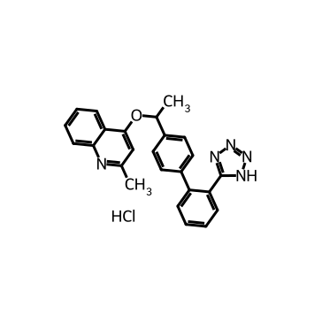 Cc1cc(OC(C)c2ccc(-c3ccccc3-c3nnn[nH]3)cc2)c2ccccc2n1.Cl